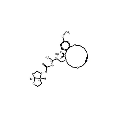 B[C@H](NC(=O)O[C@H]1CO[C@H]2OCC[C@H]21)[C@H](O)CN1CCOC/C=C\CCCOc2cc(OC)ccc2S1(=O)=O